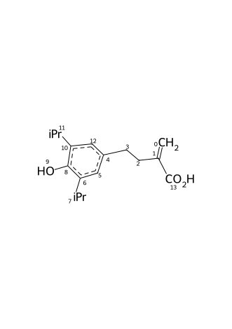 C=C(CCc1cc(C(C)C)c(O)c(C(C)C)c1)C(=O)O